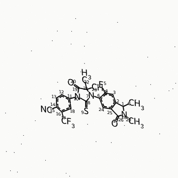 CC1c2cc(F)c(N3C(=S)N(c4ccc(C#N)c(C(F)(F)F)c4)C(=O)C3(C)C)cc2C(=O)N1C